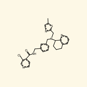 Cc1cnc(CN(Cc2cccc(CNC(=O)c3ccncc3Cl)c2)C2CCCc3cccnc32)s1